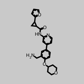 NCc1cc(-c2ccnc(NC(=O)C3CC3c3ccco3)c2)ccc1OC1CCOCC1